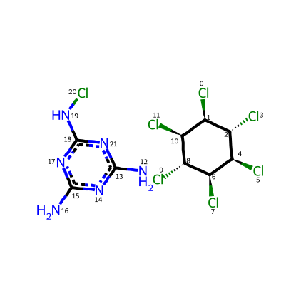 Cl[C@H]1[C@H](Cl)[C@@H](Cl)[C@@H](Cl)[C@H](Cl)[C@H]1Cl.Nc1nc(N)nc(NCl)n1